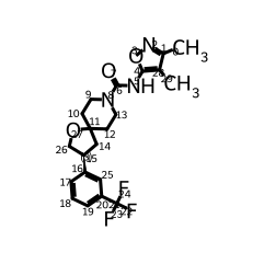 Cc1noc(NC(=O)N2CCC3(CC2)C[C@@H](c2cccc(C(F)(F)F)c2)CO3)c1C